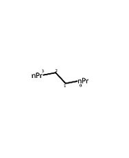 [C]CCCCCCC